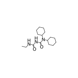 CCNC(=O)NC(=O)N(C1CCCCC1)C1CCCCC1